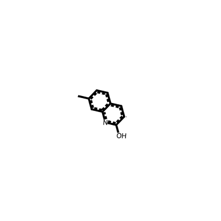 Cc1ccc2c[c]c(O)nc2c1